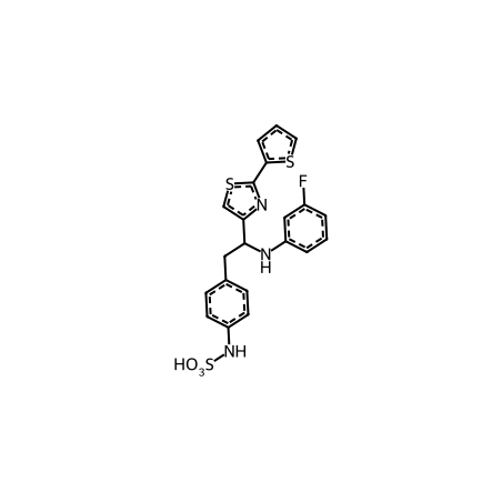 O=S(=O)(O)Nc1ccc(CC(Nc2cccc(F)c2)c2csc(-c3cccs3)n2)cc1